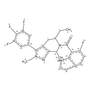 CCC1Cc2c(nn(C)c2-c2cc(F)c(F)c(F)c2)C(C)N1C(=O)c1c(F)ccc2cc[nH]c12